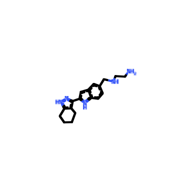 NCCNCc1ccc2[nH]c(-c3n[nH]c4c3CCCC4)cc2c1